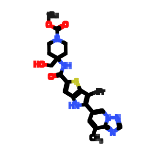 Cc1cc(-c2[nH]c3cc(C(=O)NC4(CO)CCN(C(=O)OC(C)(C)C)CC4)sc3c2C(C)C)cn2ncnc12